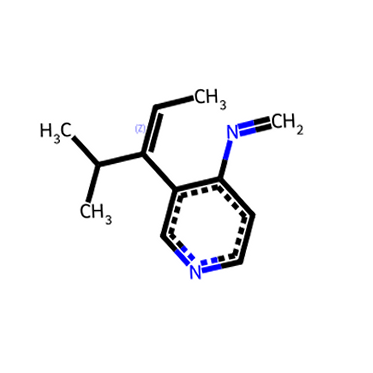 C=Nc1ccncc1/C(=C\C)C(C)C